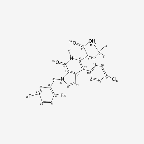 Cn1c(C(OC(C)(C)C)C(=O)O)c(-c2ccc(Cl)cc2)c2ccn(Cc3cc(F)ccc3F)c2c1=O